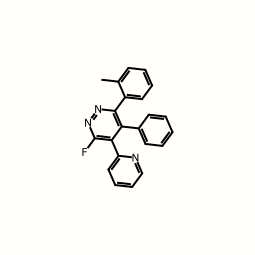 Cc1ccccc1-c1nnc(F)c(-c2ccccn2)c1-c1ccccc1